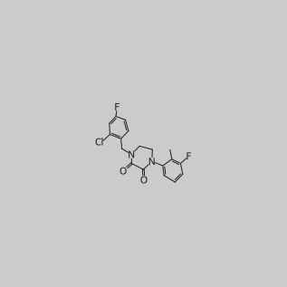 Cc1c(F)cccc1N1CCN(Cc2ccc(F)cc2Cl)C(=O)C1=O